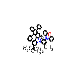 Cc1cc2c3c(c1)-n1c4cc(C(C)(C)C)ccc4c4c5c(-c6ccccc6)c6ccccc6c(-c6ccccc6)c5cc(c41)B3c1cccc3c1N2c1ccccc1O3